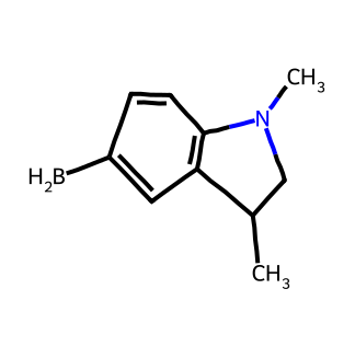 Bc1ccc2c(c1)C(C)CN2C